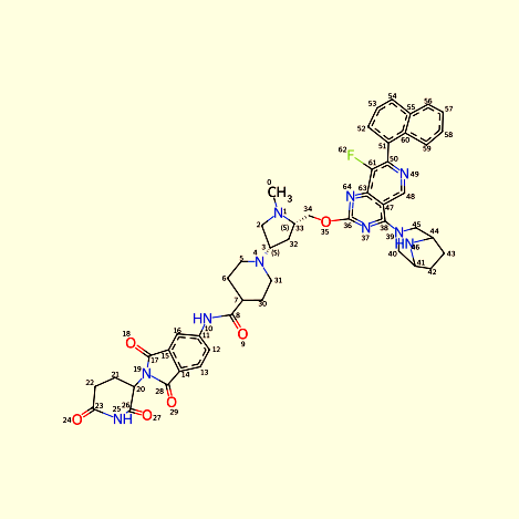 CN1C[C@@H](N2CCC(C(=O)Nc3ccc4c(c3)C(=O)N(C3CCC(=O)NC3=O)C4=O)CC2)C[C@H]1COc1nc(N2CC3CCC(C2)N3)c2cnc(-c3cccc4ccccc34)c(F)c2n1